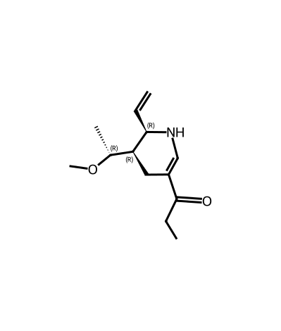 C=C[C@H]1NC=C(C(=O)CC)C[C@H]1[C@@H](C)OC